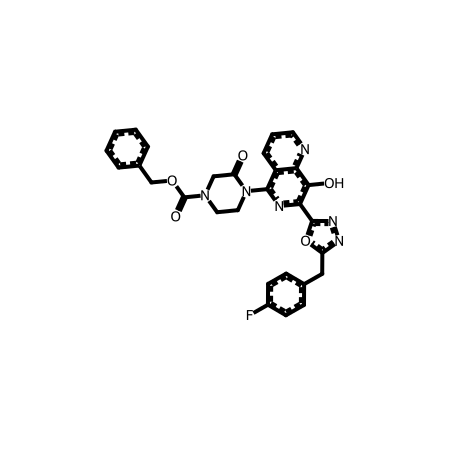 O=C(OCc1ccccc1)N1CCN(c2nc(-c3nnc(Cc4ccc(F)cc4)o3)c(O)c3ncccc23)C(=O)C1